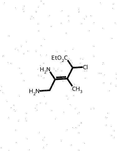 CCOC(=O)C(Cl)C(C)=C(N)CN